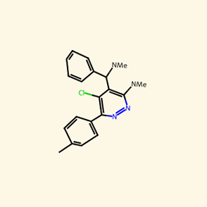 CNc1nnc(-c2ccc(C)cc2)c(Cl)c1C(NC)c1ccccc1